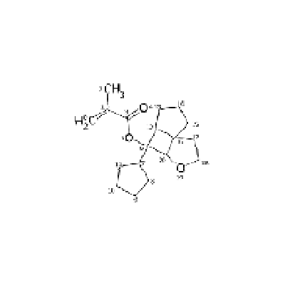 C=C(C)C(=O)OC1(C2CCCC2)C2CCCC23CCOC31